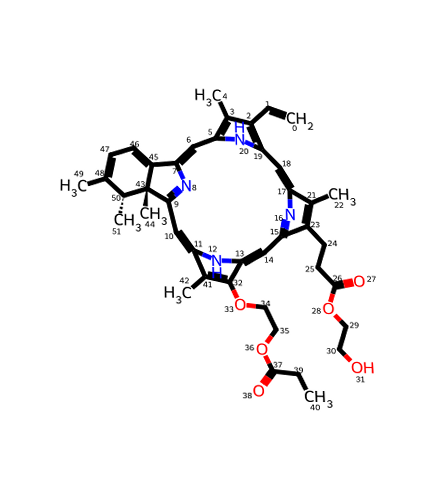 C=Cc1c(C)c2cc3nc(cc4[nH]c(cc5nc(cc1[nH]2)C(C)=C5CCC(=O)OCCO)c(OCCOC(=O)CC)c4C)[C@@]1(C)C3=CC=C(C)[C@H]1C